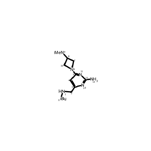 CCC(C)NCc1cc(N2CC(NC)C2)nc(N)n1